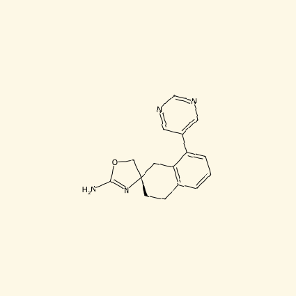 NC1=N[C@]2(CCc3cccc(-c4cncnc4)c3C2)CO1